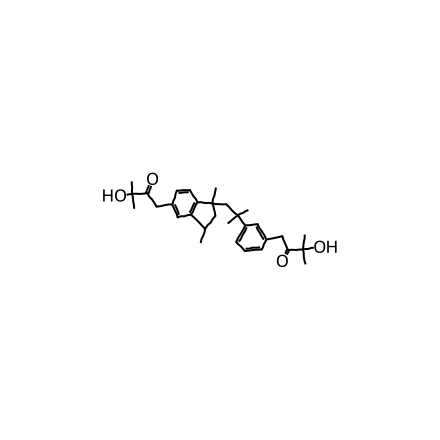 CC1CC(C)(CC(C)(C)c2cccc(CC(=O)C(C)(C)O)c2)c2ccc(CC(=O)C(C)(C)O)cc21